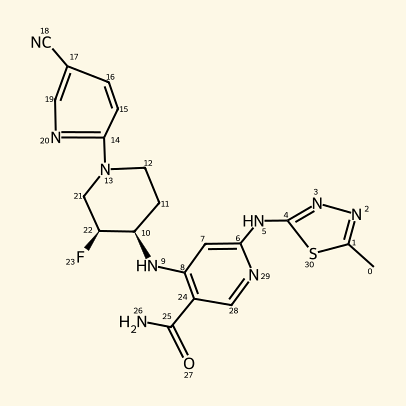 Cc1nnc(Nc2cc(N[C@@H]3CCN(c4ccc(C#N)cn4)C[C@@H]3F)c(C(N)=O)cn2)s1